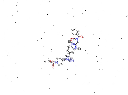 CCn1c(CN2C(=O)c3ccccc3C2=O)[n+](CC)c2ccc(/C(C=N)=C/NC3CCN(C(=O)OC(C)(C)C)CC3)cc21